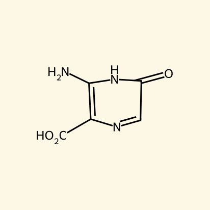 Nc1[nH]c(=O)cnc1C(=O)O